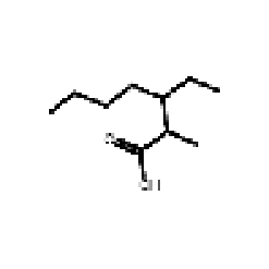 CCCCC(CC)C(C)C(=O)O